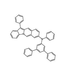 c1ccc(-c2cc(-c3ccccc3)cc(N(c3ccccc3)c3ccc4cc5c(-c6ccccc6)c6ccccc6n5cc4c3)c2)cc1